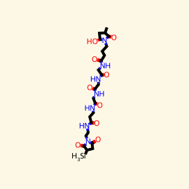 CC1CC(O)N(CCCC(=O)NCC(=O)NCC(=O)NCC(=O)NCCC(=O)NCCN2C(=O)CC([SiH3])C2=O)C1=O